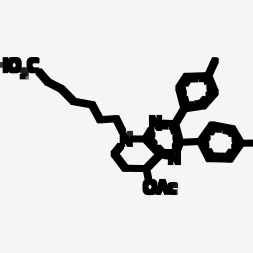 CC(=O)OC1CCN(CCCCCCC(=O)O)c2nc(-c3ccc(C)cc3)c(-c3ccc(C)cc3)nc21